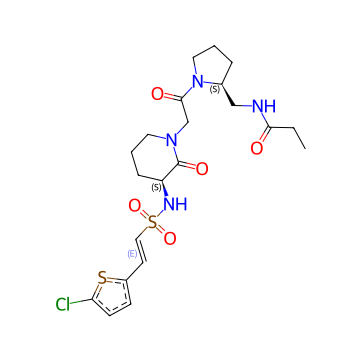 CCC(=O)NC[C@@H]1CCCN1C(=O)CN1CCC[C@H](NS(=O)(=O)/C=C/c2ccc(Cl)s2)C1=O